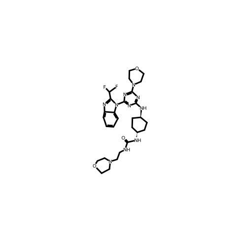 O=C(NCCN1CCOCC1)N[C@H]1CC[C@H](Nc2nc(N3CCOCC3)nc(-n3c(C(F)F)nc4ccccc43)n2)CC1